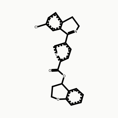 O=C(OC1CCOc2ccccc21)c1ccc(C2=NCCc3ccc(Cl)cc32)cc1